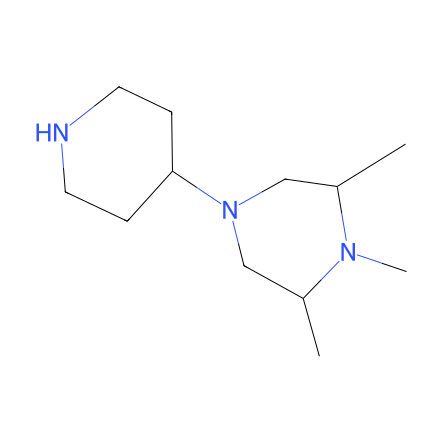 CC1CN(C2CCNCC2)CC(C)N1C